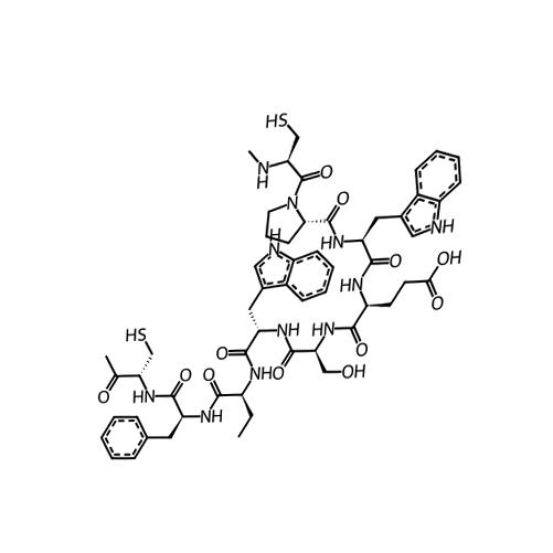 CC[C@H](NC(=O)[C@H](Cc1c[nH]c2ccccc12)NC(=O)[C@H](CO)NC(=O)[C@H](CCC(=O)O)NC(=O)[C@H](Cc1c[nH]c2ccccc12)NC(=O)[C@@H]1CCCN1C(=O)[C@H](CS)NC)C(=O)N[C@@H](Cc1ccccc1)C(=O)N[C@@H](CS)C(C)=O